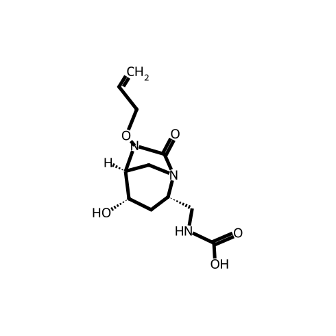 C=CCON1C(=O)N2C[C@H]1[C@@H](O)C[C@H]2CNC(=O)O